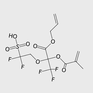 C=CCOC(=O)C(OCC(F)(F)S(=O)(=O)O)(OC(=O)C(=C)C)C(F)(F)F